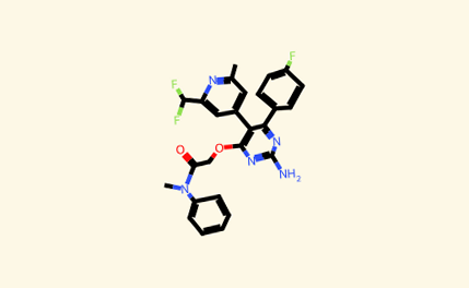 Cc1cc(-c2c(OCC(=O)N(C)c3ccccc3)nc(N)nc2-c2ccc(F)cc2)cc(C(F)F)n1